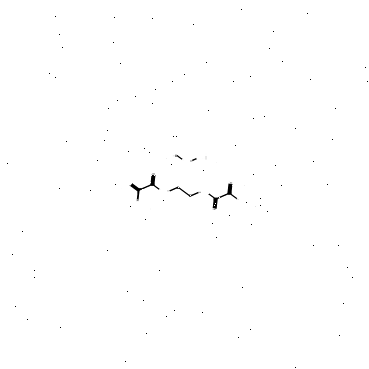 C=C(C)C(=O)OCCOC(=O)C(=C)C.[SiH3]O[SiH3]